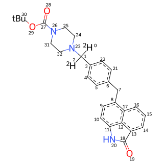 [2H]C([2H])(c1ccc(Cc2ccc3c4c(cccc24)C(=O)N3)cc1)N1CCN(C(=O)OC(C)(C)C)CC1